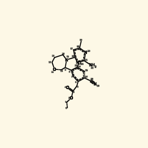 CCOC(=O)Cc1cc(C2COCCCN2c2cc(C)nc(N)n2)c(Cl)cc1C#N